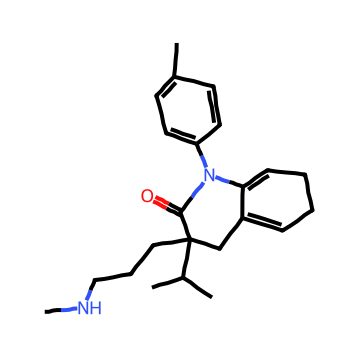 CNCCCC1(C(C)C)CC2=CCCC=C2N(c2ccc(C)cc2)C1=O